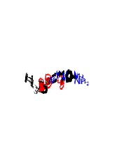 CC1(C)C2CC[C@]1(CS(=O)(=O)N1CCN(CC3CN(c4ccc(C(=N)N)cc4)C(=O)O3)CC1)C(=O)C2